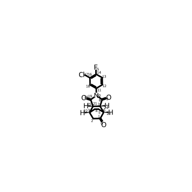 O=C1C[C@H]2CC[C@@H]1[C@H]1C(=O)N(c3ccc(F)c(Cl)c3)C(=O)[C@@H]21